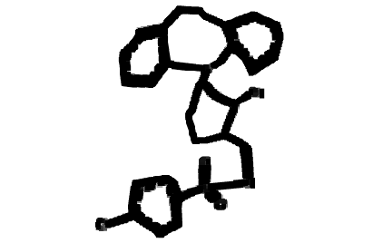 O=S(=O)(/N=C\C1CCC(N2c3ccccc3CCc3ccccc32)[C@H]1O)c1ccc(Cl)cc1